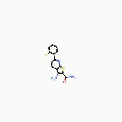 NC(=O)c1sc2nc(-c3ccccc3F)ccc2c1N